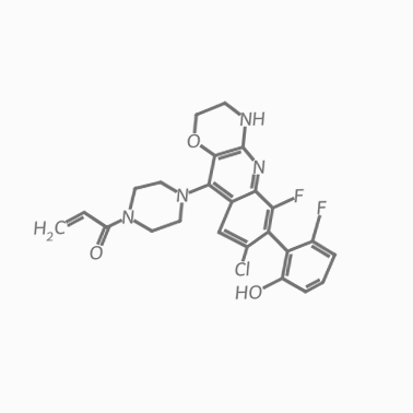 C=CC(=O)N1CCN(c2c3c(nc4c(F)c(-c5c(O)cccc5F)c(Cl)cc24)NCCO3)CC1